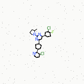 CC1CCCN1c1nc(-c2ccc(-c3ncccc3Cl)cc2)cc(-c2ccc(F)c(Cl)c2)n1